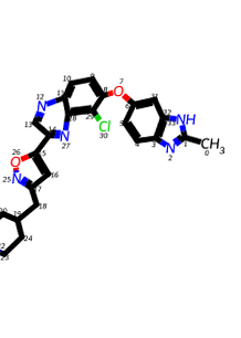 Cc1nc2ccc(Oc3ccc4ncc(-c5cc(CC6CCNCC6)no5)nc4c3Cl)cc2[nH]1